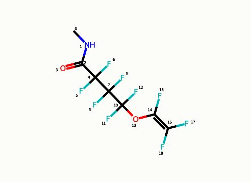 CNC(=O)C(F)(F)C(F)(F)C(F)(F)OC(F)=C(F)F